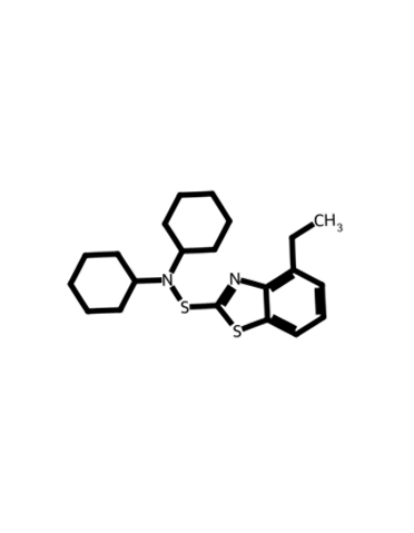 CCc1cccc2sc(SN(C3CCCCC3)C3CCCCC3)nc12